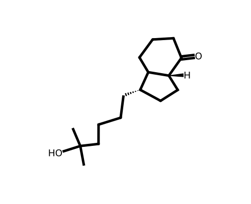 CC(C)(O)CCCC[C@H]1CC[C@H]2C(=O)CCCC12